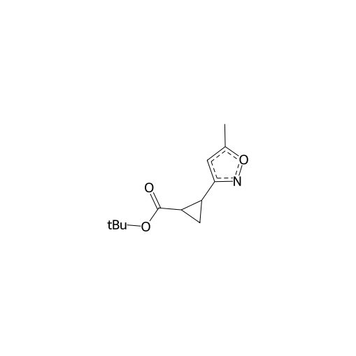 Cc1cc(C2CC2C(=O)OC(C)(C)C)no1